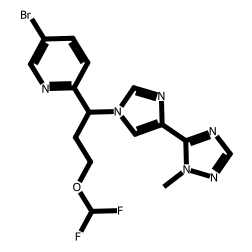 Cn1ncnc1-c1cn(C(CCOC(F)F)c2ccc(Br)cn2)cn1